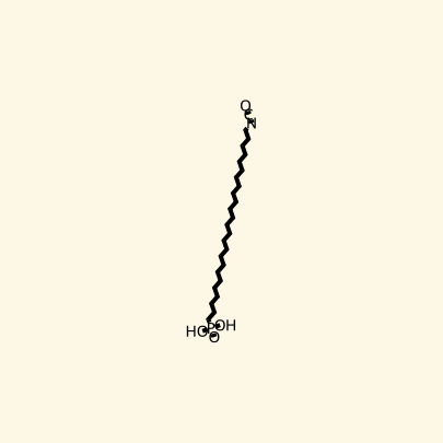 O=C=NCCCCCCCCCCCCCCCCCCCCCCCCCP(=O)(O)O